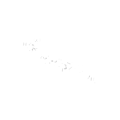 C=CCCC1CCC(c2ccc(C3CCC(C4CCC(OCCOC(=O)C(=C)CO)CC4)CC3)c(F)c2)CC1